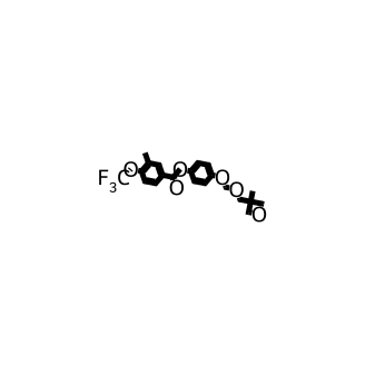 Cc1cc(C(=O)Oc2ccc(OCOCC3(C)COC3)cc2)ccc1OC(F)(F)F